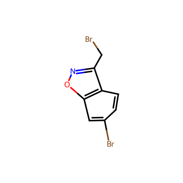 BrCc1noc2cc(Br)ccc12